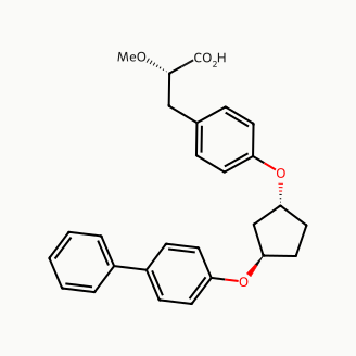 CO[C@@H](Cc1ccc(O[C@@H]2CC[C@@H](Oc3ccc(-c4ccccc4)cc3)C2)cc1)C(=O)O